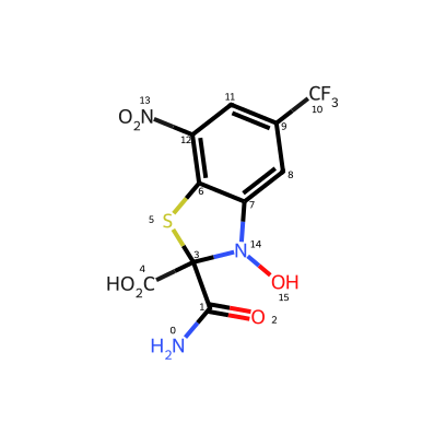 NC(=O)C1(C(=O)O)Sc2c(cc(C(F)(F)F)cc2[N+](=O)[O-])N1O